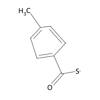 Cc1ccc(C(=O)[S])cc1